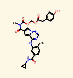 CCN(C(=O)OCOC(=O)Cc1ccc(O)cc1)C(=O)c1cc2c(Nc3cc(C(=O)NC4CC4)ccc3C)ncnn2c1